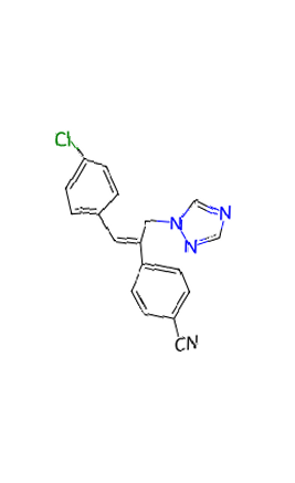 N#Cc1ccc(/C(=C/c2ccc(Cl)cc2)Cn2cncn2)cc1